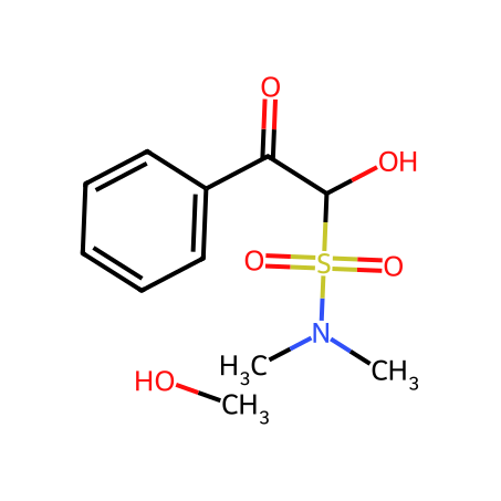 CN(C)S(=O)(=O)C(O)C(=O)c1ccccc1.CO